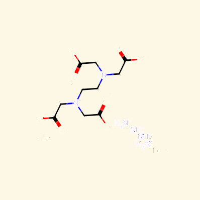 O=C([O-])CN(CCN(CC(=O)[O-])CC(=O)[O-])CC(=O)[O-].[Fe+3].[Fe+3].[NH2-].[NH2-].[NH2-].[NH4+]